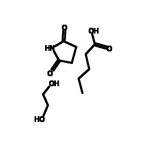 CCCCC(=O)O.O=C1CCC(=O)N1.OCCO